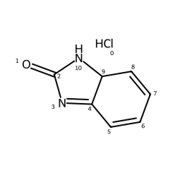 Cl.O=C1N=C2C=CC=CC2N1